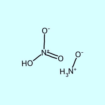 O=[N+]([O-])O.[NH3+][O-]